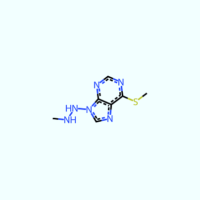 CNNn1cnc2c(SC)ncnc21